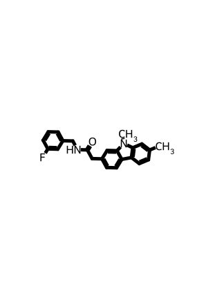 Cc1ccc2c3ccc(CC(=O)NCc4cccc(F)c4)cc3n(C)c2c1